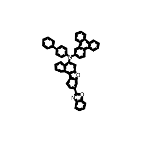 c1ccc(-c2ccc(N(c3ccc4c5ccccc5c5ccccc5c4c3)c3cc4oc5cc(-c6nc7ccccc7o6)ccc5c4c4ccccc34)cc2)cc1